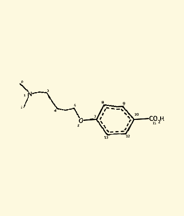 CN(C)CCCOc1ccc(C(=O)O)cc1